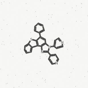 c1ccc(-c2cc3c(nc(-c4ccncc4)n3-c3ccncc3)c3c2sc2ccccc23)cc1